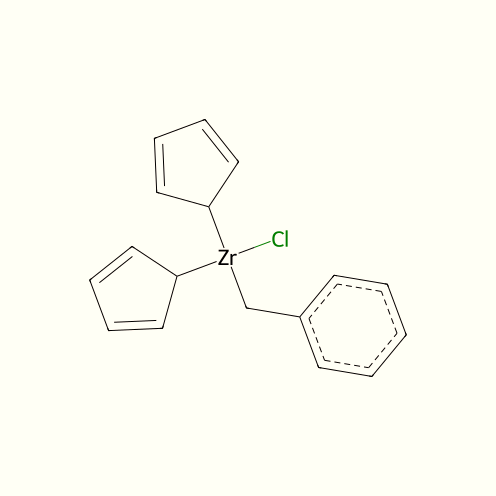 [Cl][Zr]([CH2]c1ccccc1)([CH]1C=CC=C1)[CH]1C=CC=C1